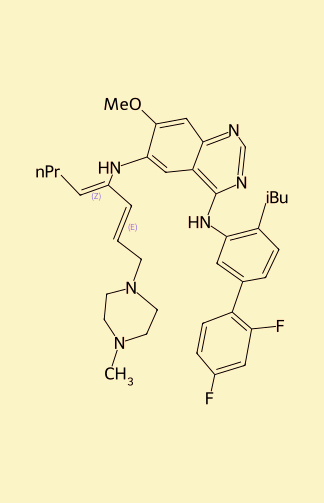 CCC/C=C(/C=C/CN1CCN(C)CC1)Nc1cc2c(Nc3cc(-c4ccc(F)cc4F)ccc3C(C)CC)ncnc2cc1OC